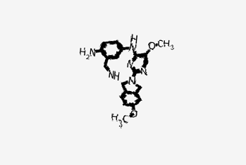 COc1ccc2c(c1)CN(c1ncc(OC)c(Nc3ccc(N)c(C=N)c3)n1)C2